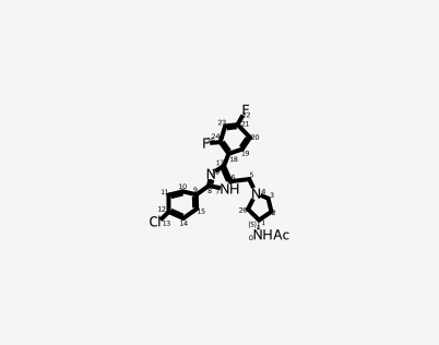 CC(=O)N[C@H]1CCN(Cc2[nH]c(-c3ccc(Cl)cc3)nc2-c2ccc(F)cc2F)C1